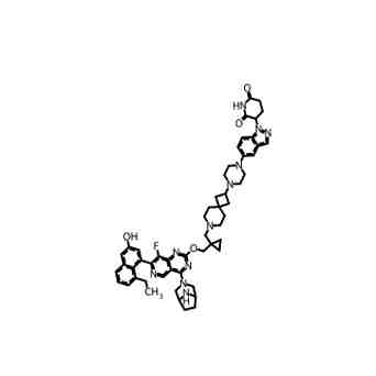 CCc1cccc2cc(O)cc(-c3ncc4c(N5CC6CCC(C5)N6)nc(OCC5(CN6CCC7(CC6)CC(N6CCN(c8ccc9c(cnn9C9CCC(=O)NC9=O)c8)CC6)C7)CC5)nc4c3F)c12